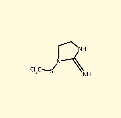 N=C1NCCN1SC(Cl)(Cl)Cl